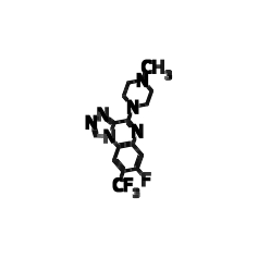 CN1CCN(c2nc3cc(F)c(C(F)(F)F)cc3n3cnnc23)CC1